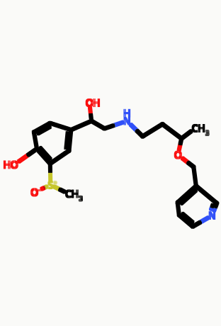 CC(CCNCC(O)c1ccc(O)c([S+](C)[O-])c1)OCc1cccnc1